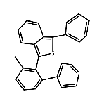 Cc1cccc(-c2ccccc2)c1-c1sc(-c2ccccc2)c2ccccc12